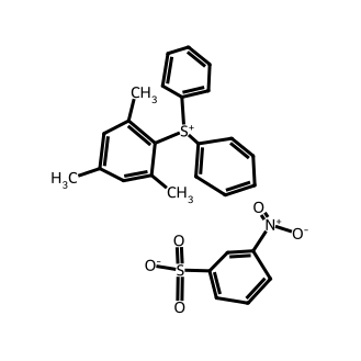 Cc1cc(C)c([S+](c2ccccc2)c2ccccc2)c(C)c1.O=[N+]([O-])c1cccc(S(=O)(=O)[O-])c1